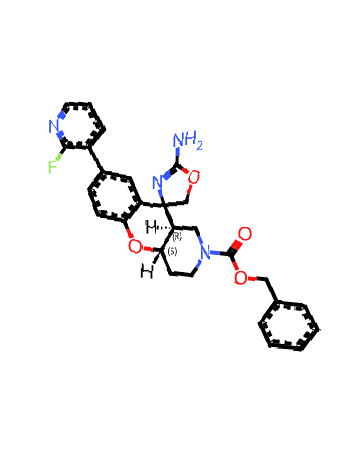 NC1=NC2(CO1)c1cc(-c3cccnc3F)ccc1O[C@H]1CCN(C(=O)OCc3ccccc3)C[C@@H]12